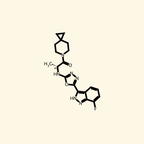 C[C@@H](Nc1nnc(-c2[nH]nc3c(F)cccc23)o1)C(=O)N1CCC2(CC1)CC2